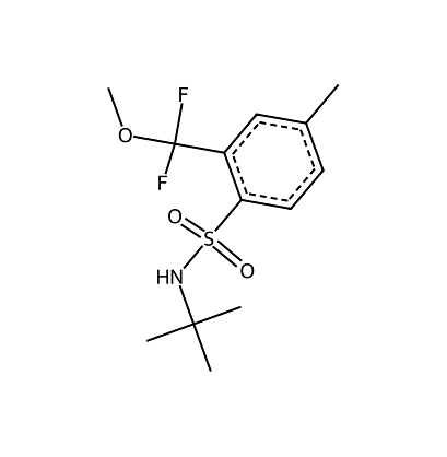 COC(F)(F)c1cc(C)ccc1S(=O)(=O)NC(C)(C)C